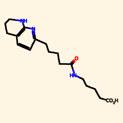 O=C(O)CCCCNC(=O)CCCCc1ccc2c(n1)NCCC2